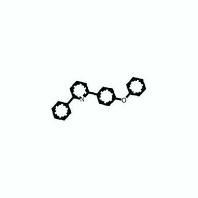 c1ccc(Oc2ccc(-c3cccc(-c4ccccc4)n3)cc2)cc1